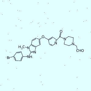 Cn1c(Nc2ccc(Br)cc2)nc2cc(Oc3ccnc(C(=O)N4CCN(CC=O)CC4)c3)ccc21